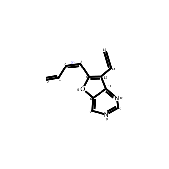 C=C/C=C\c1oc2cncnc2c1C=C